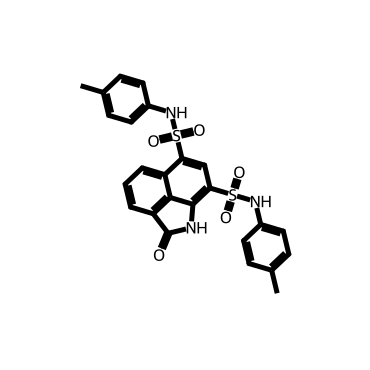 Cc1ccc(NS(=O)(=O)c2cc(S(=O)(=O)Nc3ccc(C)cc3)c3cccc4c3c2NC4=O)cc1